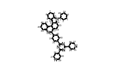 c1ccc(-n2c3ccccc3c3c4c(ccc32)c(-c2ccc(-c3nc(-c5ccncc5)nc(-c5ccncc5)n3)cc2)nc2ccccc24)cc1